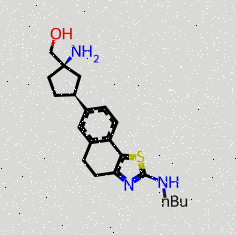 CCCCNc1nc2c(s1)-c1ccc([C@H]3CC[C@](N)(CO)C3)cc1CC2